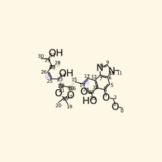 COCOc1cc2c(ncn2C)c(/C=C/C[C@@H]2OC(C)(C)O[C@@H]2C(O)/C=C\[C@@H](C)C(C)O)c1C(=O)O